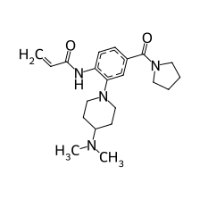 C=CC(=O)Nc1ccc(C(=O)N2CCCC2)cc1N1CCC(N(C)C)CC1